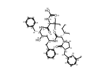 CCC(C)[C@@H](C(=O)N[C@@H](Cc1ccccc1)C[C@@H](O)[C@H](Cc1ccccc1)NC(=O)[C@@H](NC(=O)O)C(C)(C)C)N1CCN(Cc2cccc(C)n2)C1=O